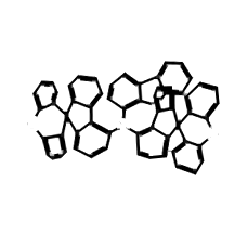 c1ccc2c(c1)Oc1ccccc1C21c2ccccc2-c2c(N(c3cccc4c3-c3ccccc3C43c4ccccc4Oc4ccccc43)c3cccc4c3sc3ccccc34)cccc21